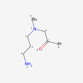 CCC(C)N(CCCN)CC(=O)C(C)C